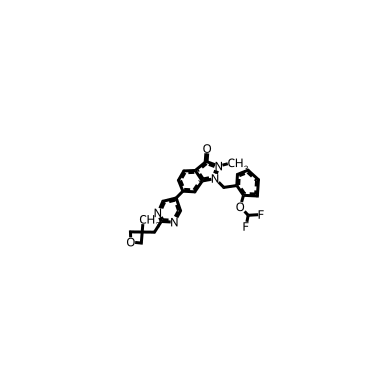 Cn1c(=O)c2ccc(-c3cnc(CC4(C)COC4)nc3)cc2n1Cc1ccccc1OC(F)F